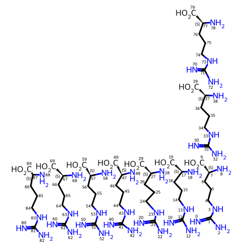 N=C(N)NCCC[C@H](N)C(=O)O.N=C(N)NCCC[C@H](N)C(=O)O.N=C(N)NCCC[C@H](N)C(=O)O.N=C(N)NCCC[C@H](N)C(=O)O.N=C(N)NCCC[C@H](N)C(=O)O.N=C(N)NCCC[C@H](N)C(=O)O.N=C(N)NCCC[C@H](N)C(=O)O.N=C(N)NCCC[C@H](N)C(=O)O.N=C(N)NCCC[C@H](N)C(=O)O